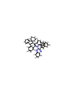 c1ccc2c(c1)-c1c(c3c4ccc5ccccc5c4n(-c4nc5ccccc5nc4-c4ccc5ccccc5c4)c3c3ccccc13)C21CCCCC1